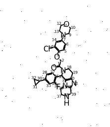 O=C(COc1ccc(N2CCOCC2)cc1Cl)N1CCc2nc3n(c2C1c1ccc(C2CC2)cc1F)CCNC3